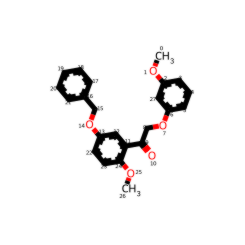 COc1cccc(OCC(=O)c2cc(OCc3ccccc3)ccc2OC)c1